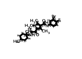 Cc1c(C(=O)Nc2ccc(F)c(Br)c2)c(C)n(C)c1C(=O)C(=O)NC1(C)CCC(O)CC1